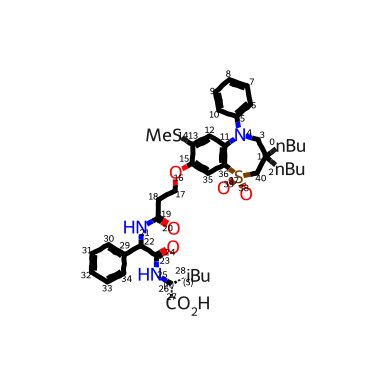 CCCCC1(CCCC)CN(c2ccccc2)c2cc(SC)c(OCCC(=O)NC(C(=O)N[C@@H](C(=O)O)[C@@H](C)CC)c3ccccc3)cc2S(=O)(=O)C1